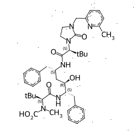 Cc1cccc(CN2CCN([C@H](C(=O)N[C@@H](Cc3ccccc3)C[C@@H](O)[C@H](Cc3ccccc3)NC(=O)[C@@H](N(C)C(=O)O)C(C)(C)C)C(C)(C)C)C2=O)n1